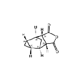 O=C1OC(=O)[C@H]2[C@H]3C[C@H]([C@@H]4C[C@@H]43)[C@@H]12